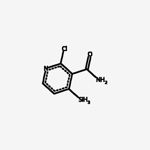 NC(=O)c1c([SiH3])ccnc1Cl